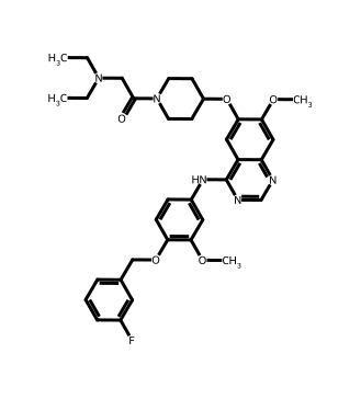 CCN(CC)CC(=O)N1CCC(Oc2cc3c(Nc4ccc(OCc5cccc(F)c5)c(OC)c4)ncnc3cc2OC)CC1